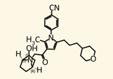 Cc1c(C(=O)CN2[C@@H]3CC[C@H]2[C@@H](O)C3)cc(CCCC2CCOCC2)n1-c1ccc(C#N)cc1